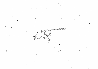 CCCCCCCCCCCC(CO)OP(=O)([O-])OCC[N+](C)(C)C